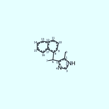 Cc1[nH]cnc1C(C)c1cccc2ccccc12